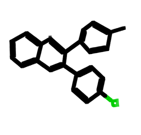 Cc1ccc(-c2[c]c3ccccc3cc2-c2ccc(Cl)cc2)cc1